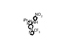 CC(C)c1nc2c(c(Nc3ccc([N+](=O)[O-])cc3)n1)CCN(c1ncccc1C(F)(F)F)CC2